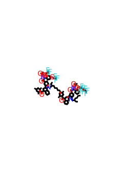 CCCCC(CC)Cn1c2ccc(C(=O)/C(=N/OC(C)=O)c3ccccc3OCC(F)(F)C(F)(F)C(F)(F)C(F)F)cc2c2cc(C(=O)c3cc(C)c(CCCCCC(CC)Cn4c5ccc(C(=O)/C(=N/OC(C)=O)c6ccc(OCC(F)(F)F)cc6OCC(F)(F)F)cc5c5cc(C(=O)c6c(C)cc(C)cc6C)c6ccccc6c54)cc3C)c3ccccc3c21